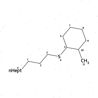 CCCCCCCCCCSC1CCCCC1C